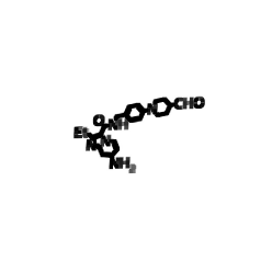 CCc1nc2cc(N)ccn2c1C(=O)NCc1ccc(N2CCC(C=O)CC2)cc1